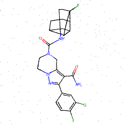 NC(=O)c1c(-c2ccc(F)c(Cl)c2)nn2c1CN(C(=O)NC13C4CC15CC1(F)C4C3C15)CC2